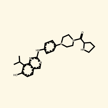 CC(C)c1c(O)ccc2cnc(Nc3ccc(N4CCN(C(=O)C5CCCN5)CC4)cc3)nc12